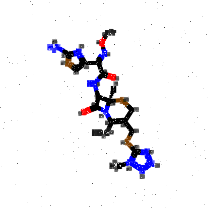 CCCO/N=C(/C(=O)NC1C(=O)N2C(C(=O)O)=C(CSc3nnnn3C)CS[C@H]12)c1csc(N)n1